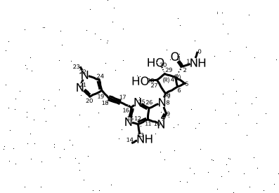 CNC(=O)[C@]12CC1[C@@H](n1cnc3c(NC)nc(C#Cc4cnn(C)c4)nc31)C(O)[C@@H]2O